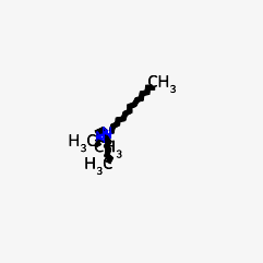 CCCCCCCCCCCCCCCCn1cc[n+](C(C)C)c1CCCCCC